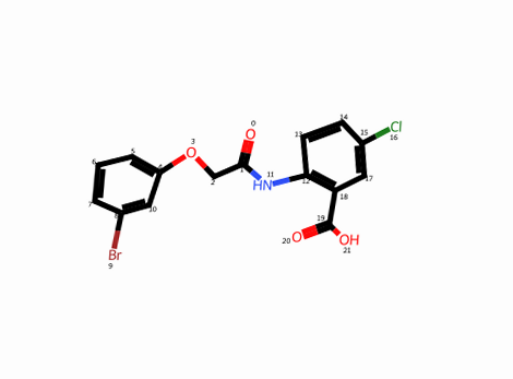 O=C(COc1cccc(Br)c1)Nc1ccc(Cl)cc1C(=O)O